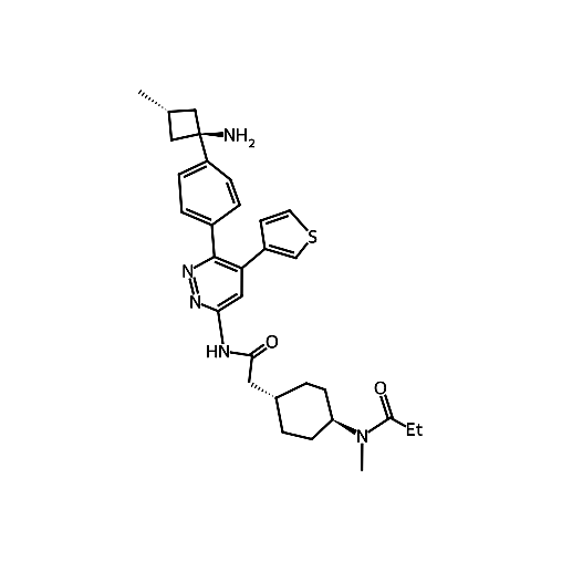 CCC(=O)N(C)[C@H]1CC[C@H](CC(=O)Nc2cc(-c3ccsc3)c(-c3ccc([C@]4(N)C[C@H](C)C4)cc3)nn2)CC1